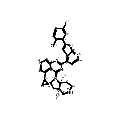 O[C@]12CCN(c3nc(-c4ccnc5[nH]c(-c6cc(F)ccc6Cl)cc45)nc4cncc(C5CC5)c34)[C@H]1CCNC2